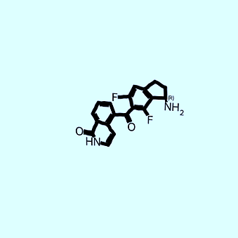 N[C@@H]1CCc2cc(F)c(C(=O)c3cccc4c(=O)[nH]ccc34)c(F)c21